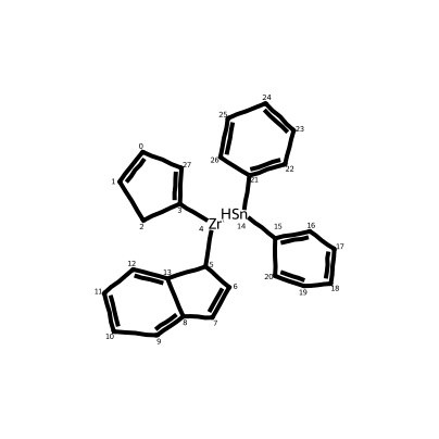 C1=CC[C]([Zr]([CH]2C=Cc3ccccc32)[SnH]([c]2ccccc2)[c]2ccccc2)=C1